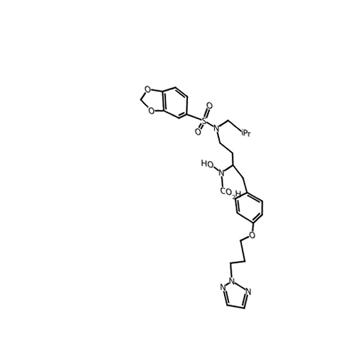 CC(C)CN(CCC(Cc1ccc(OCCCn2nccn2)cc1)N(O)C(=O)O)S(=O)(=O)c1ccc2c(c1)OCO2